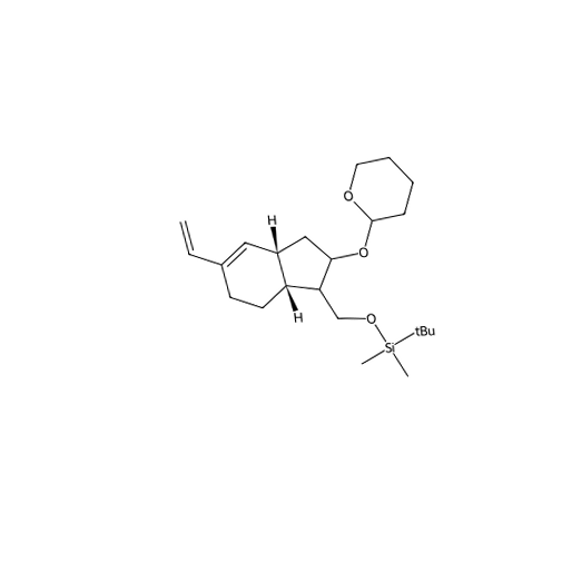 C=CC1=C[C@@H]2CC(OC3CCCCO3)C(CO[Si](C)(C)C(C)(C)C)[C@@H]2CC1